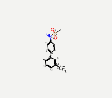 CS(=O)(=O)Nc1ccc(-c2cccc(C(F)(F)F)c2)cc1